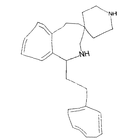 c1ccc(CCC2NC3(CCNCC3)Cc3ccccc32)cc1